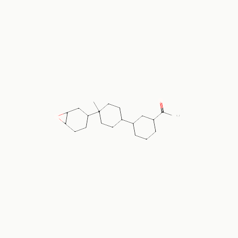 COC(=O)C1CCCC(C2CCC(C)(C3CCC4OC4C3)CC2)C1